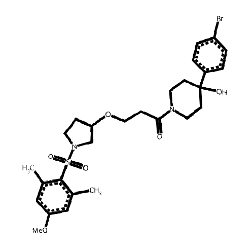 COc1cc(C)c(S(=O)(=O)N2CCC(OCCC(=O)N3CCC(O)(c4ccc(Br)cc4)CC3)C2)c(C)c1